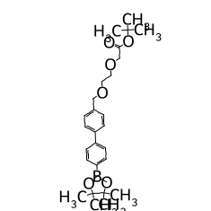 CC(C)(C)OC(=O)COCCOCc1ccc(-c2ccc(B3OC(C)(C)C(C)(C)O3)cc2)cc1